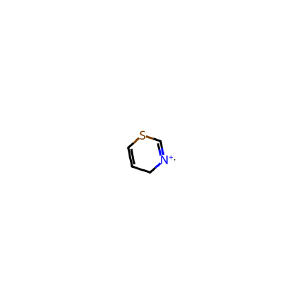 C1=CSC=[N+]C1